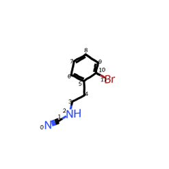 N#CNCCc1ccccc1Br